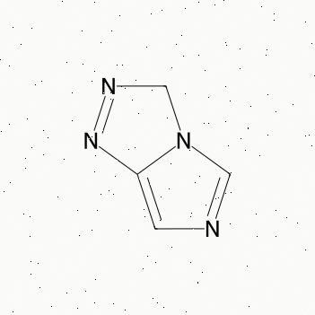 c1ncn2c1N=NC2